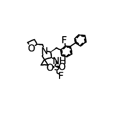 O=S(=O)(CF)N[C@@H]1[C@H](Cc2cccc(-c3ccccc3)c2F)N(CC2CCO2)CC12CC2